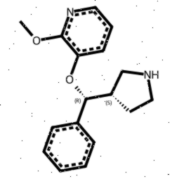 COc1ncccc1O[C@@H](c1ccccc1)[C@H]1CCNC1